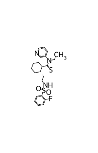 CCN(C(=S)[C@@H]1CCCC[C@H]1CCNS(=O)(=O)c1ccccc1F)c1cccnc1